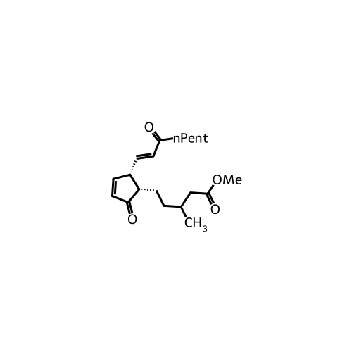 CCCCCC(=O)/C=C/[C@H]1C=CC(=O)[C@H]1CCC(C)CC(=O)OC